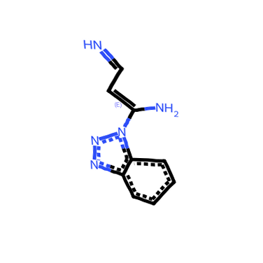 N=C/C=C(\N)n1nnc2ccccc21